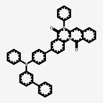 O=c1c2cc(-c3ccc(N(c4ccccc4)c4cccc(-c5ccccc5)c4)cc3)ccc2n2c(=O)c3ccccc3cc2n1-c1ccccc1